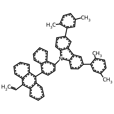 C=Cc1c2ccccc2c(-c2ccc(-n3c4ccc(-c5cc(C)ccc5C)cc4c4cc(-c5cc(C)ccc5C)ccc43)c3ccccc23)c2ccccc12